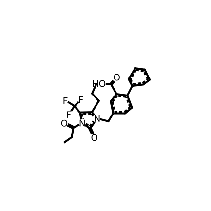 CCCc1c(C(F)(F)F)n(C(=O)CC)c(=O)n1Cc1ccc(-c2ccccc2)c(C(=O)O)c1